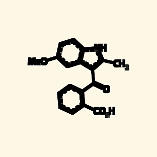 COc1ccc2[nH]c(C)c(C(=O)c3ccccc3C(=O)O)c2c1